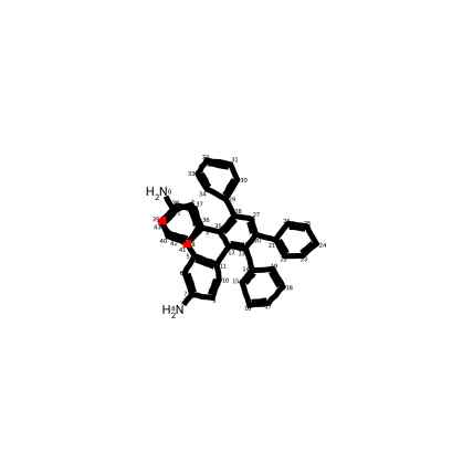 Nc1ccc(-c2cc(N)ccc2-c2c(-c3ccccc3)c(-c3ccccc3)cc(-c3ccccc3)c2-c2ccccc2)cc1